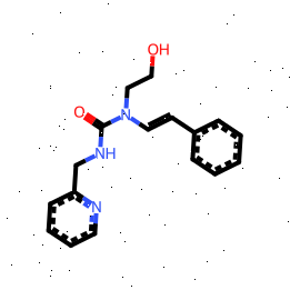 O=C(NCc1ccccn1)N(C=Cc1ccccc1)CCO